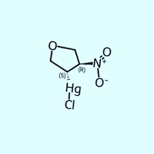 O=[N+]([O-])[C@@H]1COC[C@H]1[Hg][Cl]